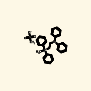 CS(=O)(=O)[O-].C[P+](CC[As](c1ccccc1)c1ccccc1)(c1ccccc1)c1ccccc1